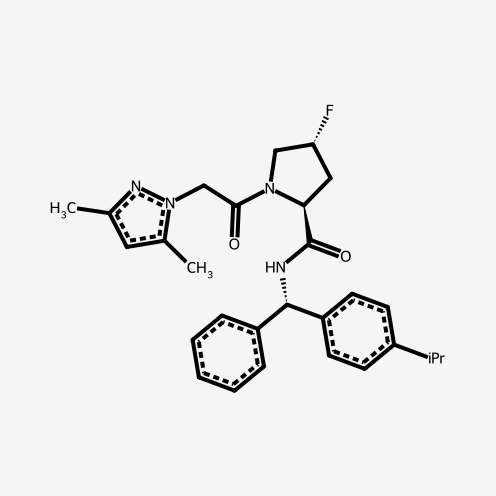 Cc1cc(C)n(CC(=O)N2C[C@H](F)C[C@H]2C(=O)N[C@@H](c2ccccc2)c2ccc(C(C)C)cc2)n1